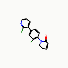 O=C1C=CCCN1c1ccc(-c2cccnc2F)cc1F